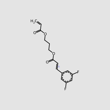 C=CC(=O)OCCCOC(=O)/C=C/c1cc(F)cc(F)c1